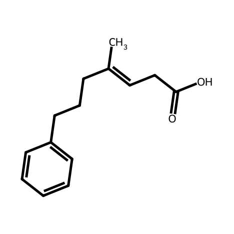 CC(=CCC(=O)O)CCCc1ccccc1